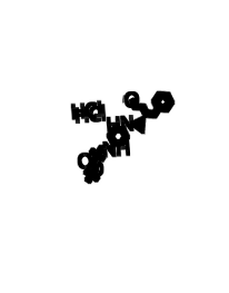 COCC/C(=C\c1ccccc1)[C@@H]1C[C@H]1N[C@H]1CC[C@H](NCC(C)(C)C(=O)OC(C)(C)C)CC1.Cl.Cl